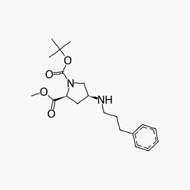 COC(=O)[C@@H]1C[C@H](NCCCc2ccccc2)CN1C(=O)OC(C)(C)C